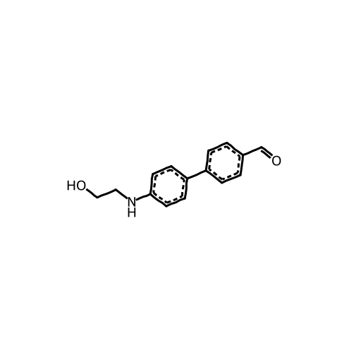 O=Cc1ccc(-c2ccc(NCCO)cc2)cc1